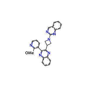 COc1ncccc1-c1nc2ccccc2nc1C1CN(c2ncc3ccccc3n2)C1